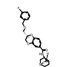 O=C(N[C@H]1CN2CCC1CC2)c1ccc2c(c1)OC[C@H](COCc1cccc(F)c1)O2